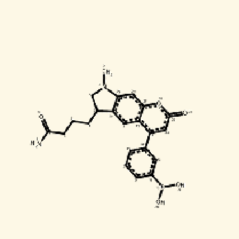 CN1CC(CCCC(N)=O)c2cc3c(-c4cccc(B(O)O)c4)cc(=O)oc3cc21